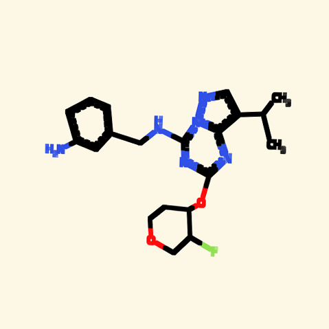 CC(C)c1cnn2c(NCc3cccc(N)c3)nc(OC3CCOCC3F)nc12